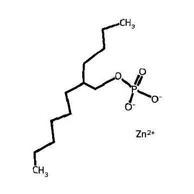 CCCCCCC(CCCC)COP(=O)([O-])[O-].[Zn+2]